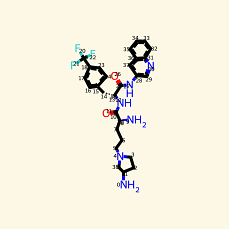 NC1CCN(CCC[C@H](N)C(=O)N[C@H](Cc2ccc(C(F)(F)F)cc2)C(=O)Nc2cnc3ccccc3c2)C1